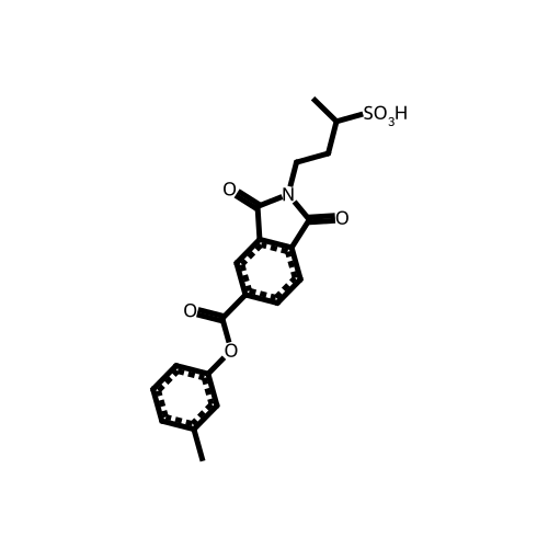 Cc1cccc(OC(=O)c2ccc3c(c2)C(=O)N(CCC(C)S(=O)(=O)O)C3=O)c1